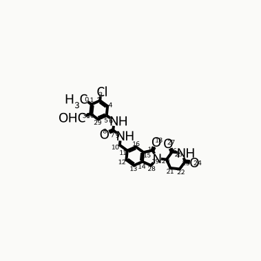 Cc1c(Cl)cc(NC(=O)NCc2ccc3c(c2)C(=O)N(C2CCC(=O)NC2=O)C3)cc1C=O